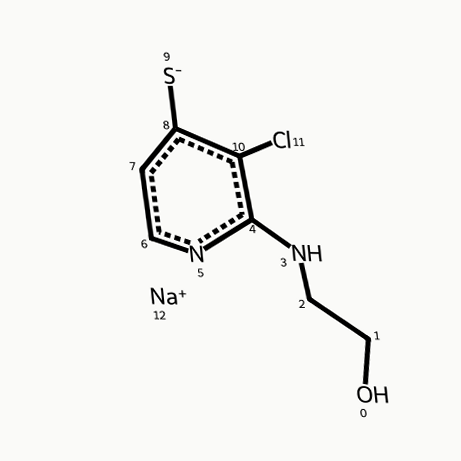 OCCNc1nccc([S-])c1Cl.[Na+]